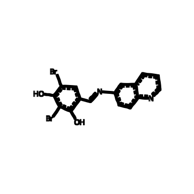 Oc1c(Br)cc(/C=N/c2ccc3ncccc3c2)c(O)c1Br